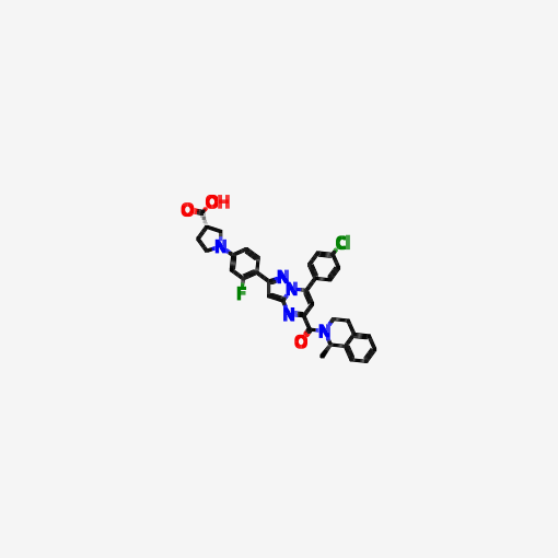 C[C@@H]1c2ccccc2CCN1C(=O)c1cc(-c2ccc(Cl)cc2)n2nc(-c3ccc(N4CC[C@H](C(=O)O)C4)cc3F)cc2n1